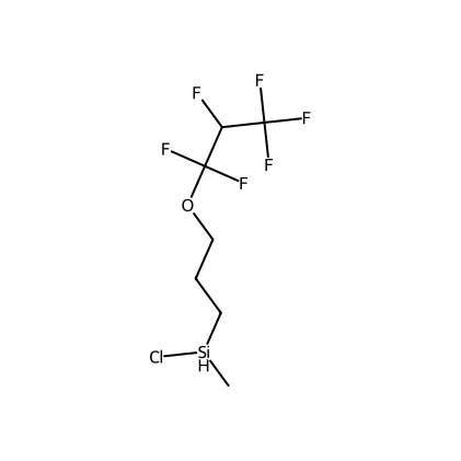 C[SiH](Cl)CCCOC(F)(F)C(F)C(F)(F)F